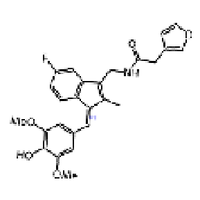 COc1cc(/C=C2/C(C)=C(CNC(=O)Cc3ccoc3)c3cc(F)ccc32)cc(OC)c1O